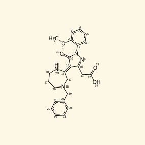 COc1ccccc1N1N=C(CC(=O)O)/C(=C2\CN(Cc3ccccc3)CCCN2)C1=O